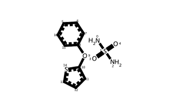 NS(N)(=O)=O.c1ccc(Oc2cccs2)cc1